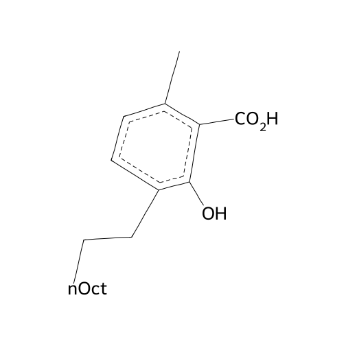 CCCCCCCCCCc1ccc(C)c(C(=O)O)c1O